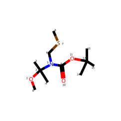 COC(C)(C)N(CSC)C(=O)OC(C)(C)C